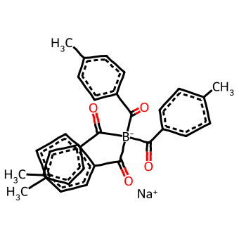 Cc1ccc(C(=O)[B-](C(=O)c2ccc(C)cc2)(C(=O)c2ccc(C)cc2)C(=O)c2ccc(C)cc2)cc1.[Na+]